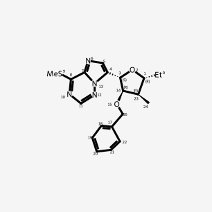 CC[C@H]1O[C@@H](c2cnc3c(SC)ncnn23)[C@H](OCc2ccccc2)[C@@H]1C